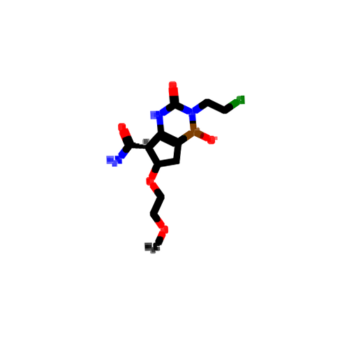 COCCOC1CC2=C(NC(=O)N(CCCl)[S+]2[O-])[C@H]1C(N)=O